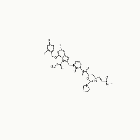 CN(C)C(=O)/C=C/CC[C@H](OC(O)N1CCCC1)C(=O)Nc1cccn(Cc2cc3cc(F)cc(OCc4ccc(F)cc4F)c3n2C(=O)OC(C)(C)C)c1=O